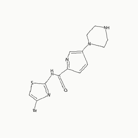 O=C(Nc1nc(Br)cs1)c1ccc(N2CCNCC2)cn1